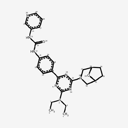 CCN(CC)c1nc(-c2ccc(NC(=O)Nc3cccnc3)cc2)nc(N2CC3CCC(C2)O3)n1